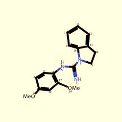 COc1ccc(NC(=N)N2CCc3ccccc32)c(OC)c1